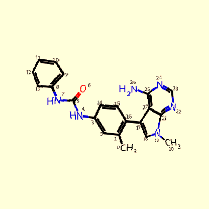 Cc1cc(NC(=O)Nc2ccccc2)ccc1-c1cn(C)c2ncnc(N)c12